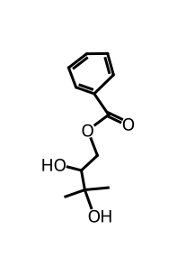 CC(C)(O)C(O)COC(=O)c1ccccc1